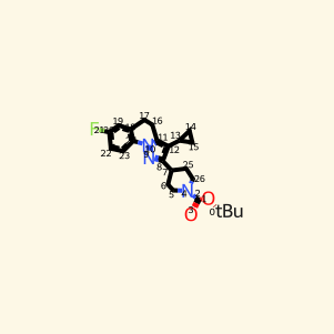 CC(C)(C)OC(=O)N1CCC(c2nn3c(c2C2CC2)CCc2cc(F)ccc2-3)CC1